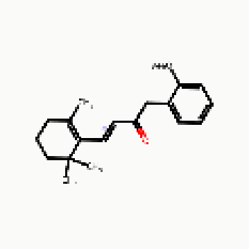 COc1ccccc1CC(=O)/C=C/C1=C(C)CCCC1(C)C